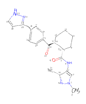 Cn1cc(NC(=O)[C@H]2CCCC[C@@H]2C(=O)c2ccc(-c3cc[nH]n3)cc2)c(C#N)n1